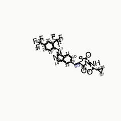 O=C(NN1C(=O)S/C(=C\c2ccc3c(cnn3Cc3ccc(C(F)(F)F)cc3C(F)(F)F)c2)C1=O)C1CC1